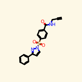 C#CCNC(=O)c1ccc(S(=O)(=O)n2ccc(-c3ccccc3)n2)cc1